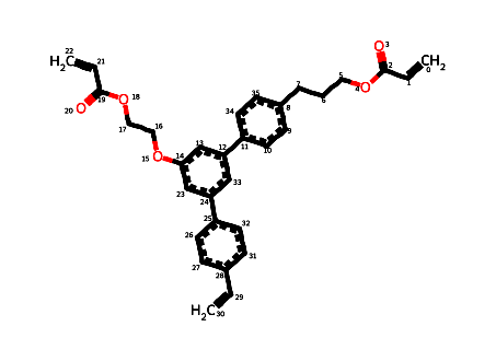 C=CC(=O)OCCCc1ccc(-c2cc(OCCOC(=O)C=C)cc(-c3ccc(C=C)cc3)c2)cc1